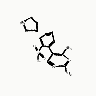 C1CCNC1.Nc1ncc(-c2ccccc2S(=O)(=O)O)c(N)n1